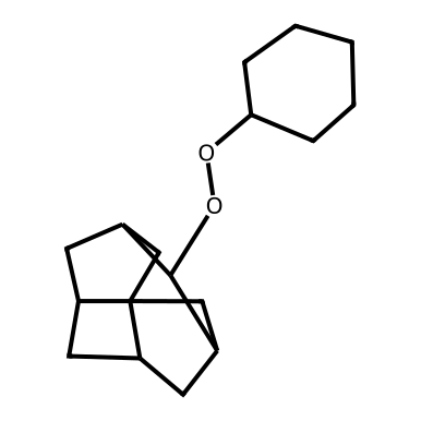 C1CCC(OOC2C3CC4CC5CC2CC45C3)CC1